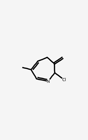 C=C1CC=C(C)C=NC1Cl